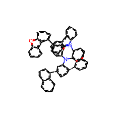 c1ccc(-c2ccc(-c3cccc4ccccc34)cc2N(c2ccc(-c3cccc4oc5ccccc5c34)cc2)c2ccccc2-n2c3ccccc3c3ccccc32)cc1